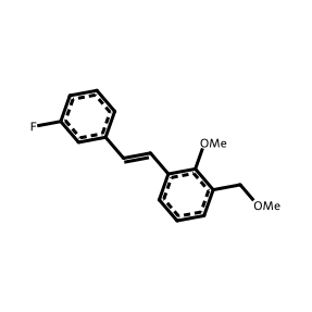 COCc1cccc(/C=C/c2cccc(F)c2)c1OC